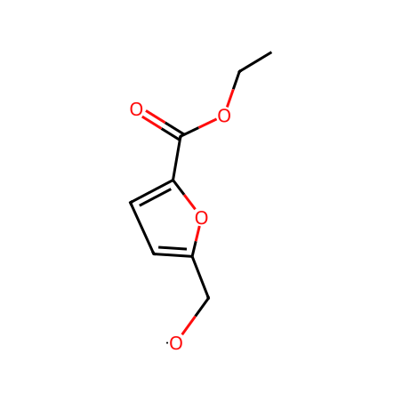 CCOC(=O)c1ccc(C[O])o1